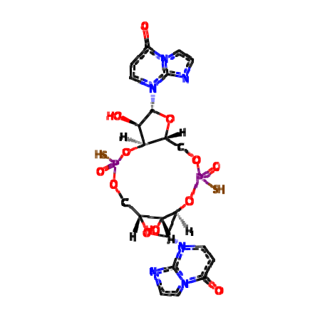 O=c1ccn([C@@H]2O[C@@H]3COP(=O)(S)O[C@@H]4[C@H](O)[C@@H](COP(=O)(S)O[C@H]3[C@H]2O)O[C@H]4n2ccc(=O)n3ccnc23)c2nccn12